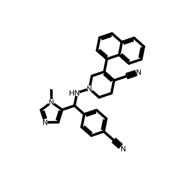 Cn1cncc1C(NN1CCC(C#N)=C(c2cccc3ccccc23)C1)c1ccc(C#N)cc1